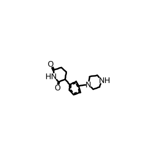 O=C1CCC(c2cccc(N3CCNCC3)c2)C(=O)N1